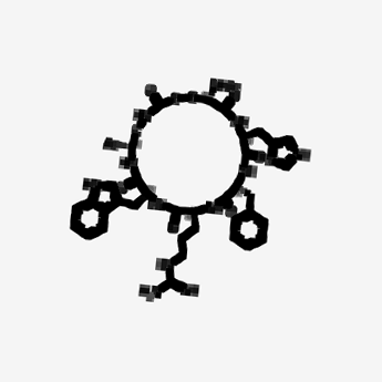 CC(=O)N[C@H]1CCC(=O)NC[C@@H](C(C)=O)NC(=O)[C@H](Cc2c[nH]c3ccccc23)NC(=O)[C@H](CCCNC(=N)N)NC(=O)[C@@H](Cc2ccccc2)NC(=O)[C@H](Cc2c[nH]cn2)NC1=O